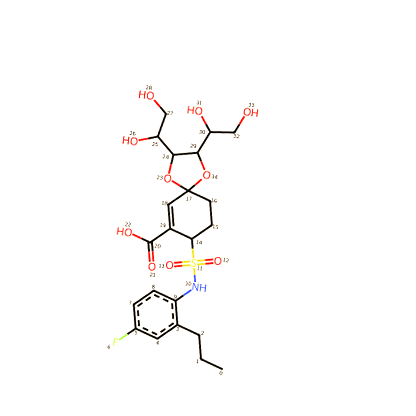 CCCc1cc(F)ccc1NS(=O)(=O)C1CCC2(C=C1C(=O)O)OC(C(O)CO)C(C(O)CO)O2